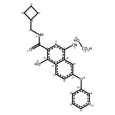 N#Cc1nc(C(=O)NCC2CCC2)c(O)c2ccc(Oc3cccnc3)cc12.O=C(O)O